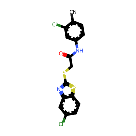 N#Cc1ccc(NC(=O)CSc2nc3cc(Cl)ccc3s2)cc1Cl